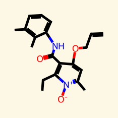 C=CCOc1cc(C)[n+]([O-])c(CC)c1C(=O)Nc1cccc(C)c1C